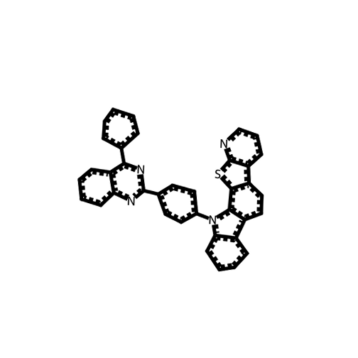 c1ccc(-c2nc(-c3ccc(-n4c5ccccc5c5ccc6c7cccnc7sc6c54)cc3)nc3ccccc23)cc1